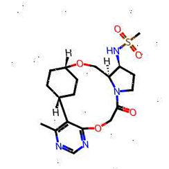 Cc1ncnc2c1[C@H]1CC[C@H](CC1)OC[C@H]1[C@@H](NS(C)(=O)=O)CCN1C(=O)CO2